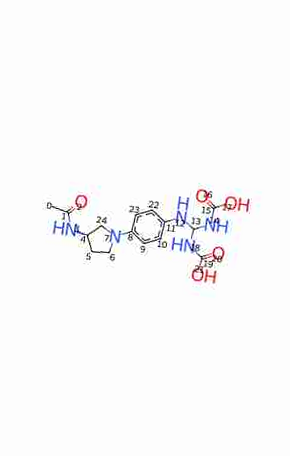 CC(=O)N[C@@H]1CCN(c2ccc(NC(NC(=O)O)NC(=O)O)cc2)C1